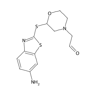 Nc1ccc2nc(SC3CN(CC=O)CCO3)sc2c1